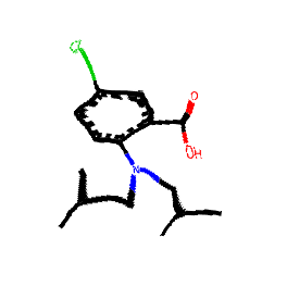 CC(C)CN(CC(C)C)c1ccc(Cl)cc1C(=O)O